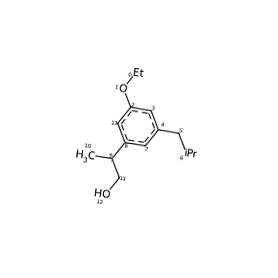 CCOc1cc(CC(C)C)cc([C](C)CO)c1